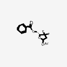 CC(=O)OC1CC(F)(F)[C@@H](COC(=O)c2ccccc2)O1